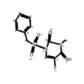 Cn1c(=N)c(F)cn(S(=O)(=O)Cc2ccccc2)c1=O